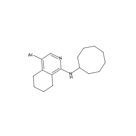 CC(=O)c1cnc(NC2CCCCCCC2)c2c1CCCC2